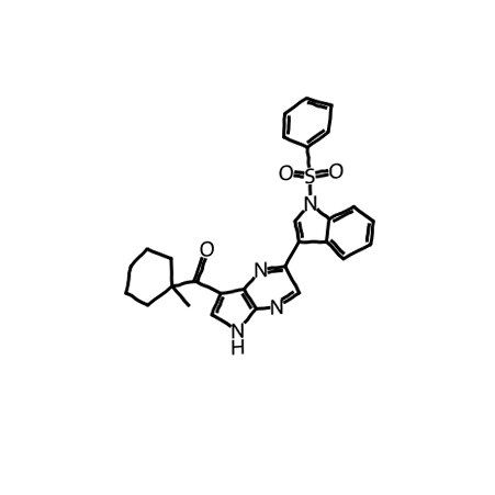 CC1(C(=O)c2c[nH]c3ncc(-c4cn(S(=O)(=O)c5ccccc5)c5ccccc45)nc23)CCCCC1